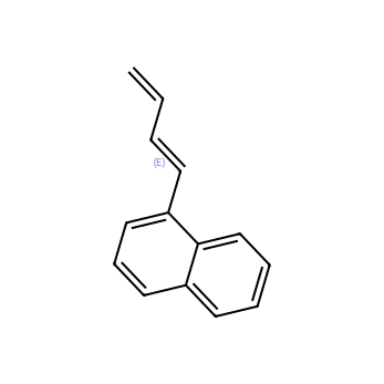 C=C/C=C/c1cccc2ccccc12